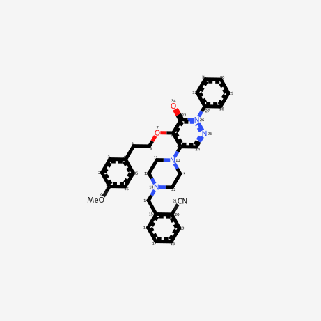 COc1ccc(CCOc2c(N3CCN(Cc4ccccc4C#N)CC3)cnn(-c3ccccc3)c2=O)cc1